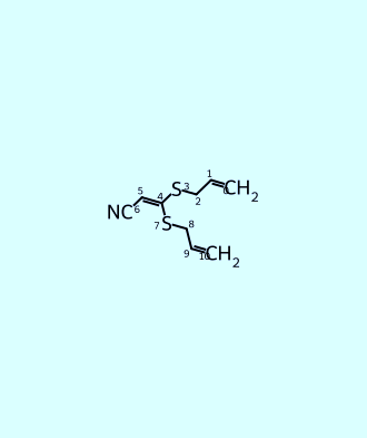 C=CCSC(=CC#N)SCC=C